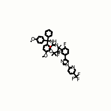 COc1ccc(C(NC2=N[C@](C)(c3cc(-c4cn(-c5ccc(C(F)(F)F)cn5)cn4)ccc3F)C(F)(F)C(C)(C)OC2)(c2ccccc2)c2ccc(OC)cc2)cc1